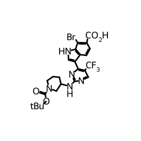 CC(C)(C)OC(=O)N1CCCC(Nc2ncc(C(F)(F)F)c(-c3c[nH]c4c(Br)c(C(=O)O)ccc34)n2)C1